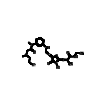 CCn1c(=C=C(C#N)C(=O)NCC#N)sc(=C=CNc2cccc(N(C)C(=O)CN(C)CCC(C)C)c2)c1=O